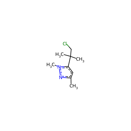 Cc1cc(C(C)(C)CCl)n(C)n1